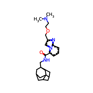 CN(C)CCOCc1cn2c(C(=O)NCC34CC5CC6CC(C3)C6(C5)C4)cccc2n1